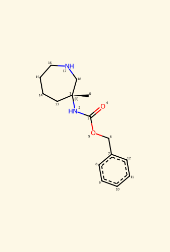 C[C@@]1(NC(=O)OCc2ccccc2)CCCCNC1